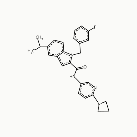 CC(C)c1ccc2c(c1)cc(C(=O)Nc1ccc(N3CCC3)nc1)n2Cc1cccc(F)c1